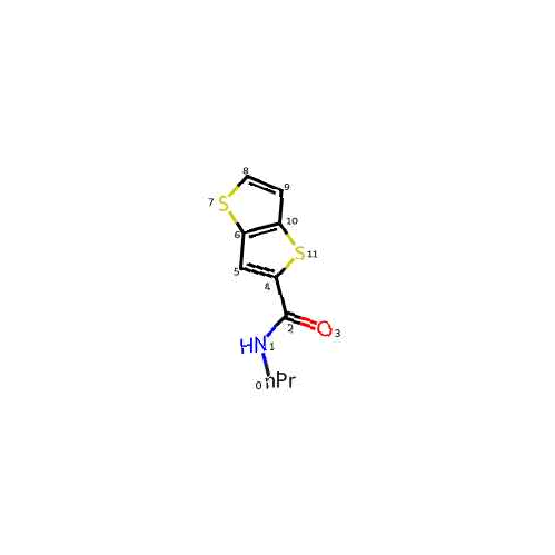 CCCNC(=O)c1cc2sccc2s1